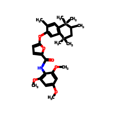 COc1cc(OC)c(NC(=O)c2ccc(Oc3cc4c(cc3C)[Si](C)(C)C(C)C[Si]4(C)C)o2)c(OC)c1